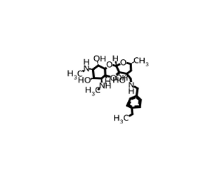 CCc1ccc(CNC[C@]2(O)C[C@@H](C)O[C@H]3OC4[C@@H](O)[C@H](NC)[C@H](O)[C@H](NC)[C@H]4O[C@]32O)cc1